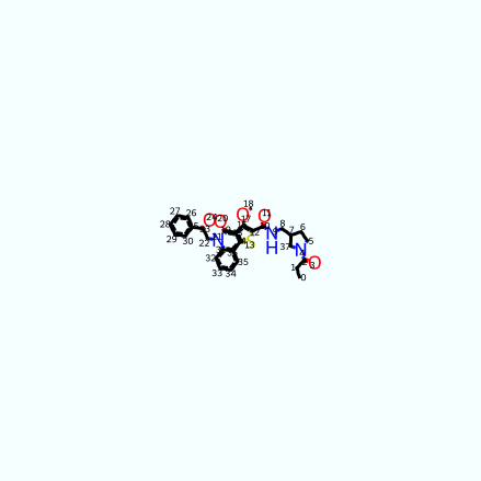 CCC(=O)N1CCC(CNC(=O)c2sc3c(c2OC)c(=O)n(CC(=O)c2ccccc2)c2ccccc32)C1